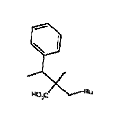 CCC(C)CC(C)(C(=O)O)C(C)c1ccccc1